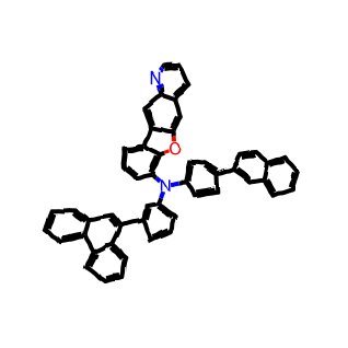 c1cc(-c2cc3ccccc3c3ccccc23)cc(N(c2ccc(-c3ccc4ccccc4c3)cc2)c2cccc3c2oc2cc4cccnc4cc23)c1